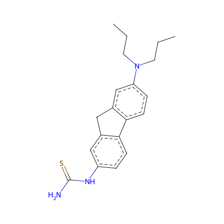 CCCN(CCC)c1ccc2c(c1)Cc1cc(NC(N)=S)ccc1-2